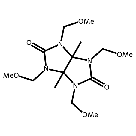 COCN1C(=O)N(COC)C2(C)N(COC)C(=O)N(COC)C12C